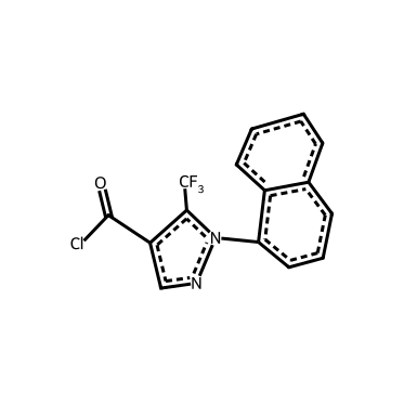 O=C(Cl)c1cnn(-c2cccc3ccccc23)c1C(F)(F)F